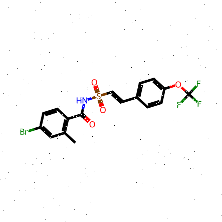 Cc1cc(Br)ccc1C(=O)NS(=O)(=O)C=Cc1ccc(OC(F)(F)F)cc1